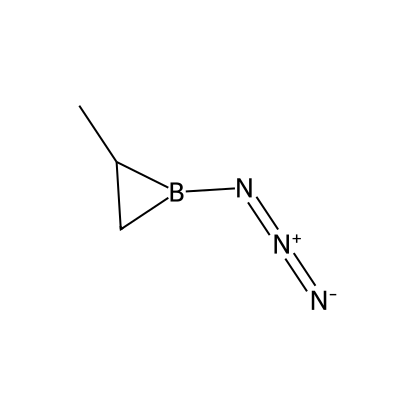 CC1CB1N=[N+]=[N-]